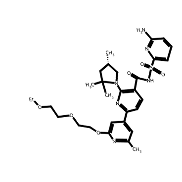 CCOCCOCCOc1cc(-c2ccc(C(=O)NS(=O)(=O)c3cccc(N)n3)c(N3C[C@@H](C)CC3(C)C)n2)cc(C)n1